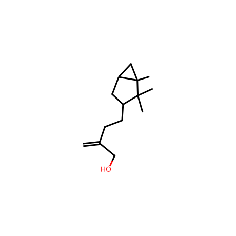 C=C(CO)CCC1CC2CC2(C)C1(C)C